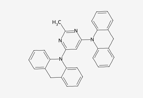 Cc1nc(N2c3ccccc3Cc3ccccc32)cc(N2c3ccccc3Cc3ccccc32)n1